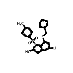 Cc1ccc(S(=O)(=O)n2c(C#N)cc3cc(Cl)cc(SCc4ccccc4)c32)cc1